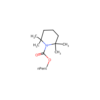 CCCCCOC(=O)N1C(C)(C)CCCC1(C)C